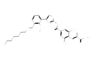 CCCCCCCOCc1cccc(-c2csc(NC(=O)c3cc(Cl)c(C=C(C)C(=O)O)c(Cl)c3)n2)c1OC